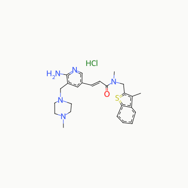 Cc1c(CN(C)C(=O)/C=C/c2cnc(N)c(CN3CCN(C)CC3)c2)sc2ccccc12.Cl